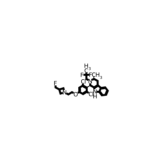 C[C@@H]1Cc2c([nH]c3ccccc23)[C@@H](c2c(Cl)cc(OCCN3CC(CF)C3)cc2Cl)N1CC(C)(F)F